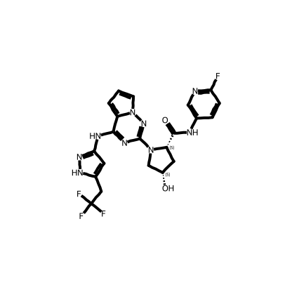 O=C(Nc1ccc(F)nc1)[C@@H]1C[C@H](O)CN1c1nc(Nc2cc(CC(F)(F)F)[nH]n2)c2cccn2n1